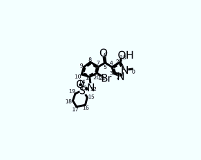 Cn1ncc(C(=O)c2cccc(N=S3(=O)CCCCC3)c2Br)c1O